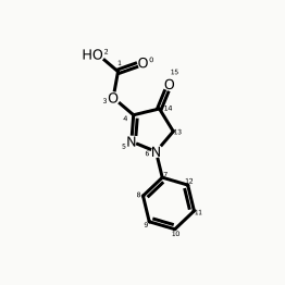 O=C(O)OC1=NN(c2ccccc2)CC1=O